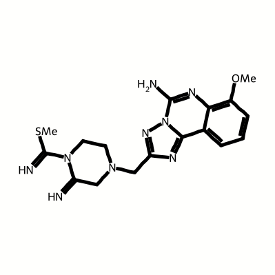 COc1cccc2c1nc(N)n1nc(CN3CCN(C(=N)SC)C(=N)C3)nc21